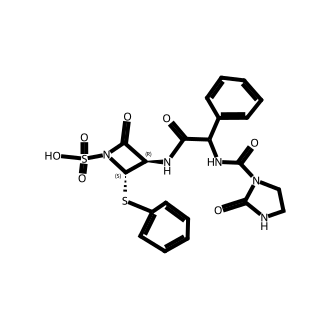 O=C(N[C@@H]1C(=O)N(S(=O)(=O)O)[C@H]1Sc1ccccc1)C(NC(=O)N1CCNC1=O)c1ccccc1